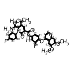 COc1cc2nccc(Oc3ccc(NC(=O)c4cc(C(C)C)c(C(N)=O)n(-c5ccc(F)cc5)c4=O)cc3F)c2cc1OC